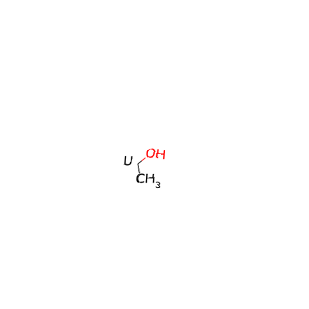 CCO.[U]